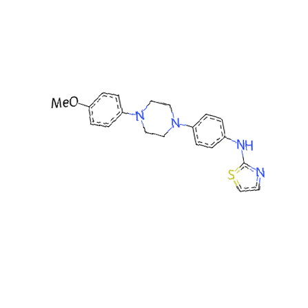 COc1ccc(N2CCN(c3ccc(Nc4nccs4)cc3)CC2)cc1